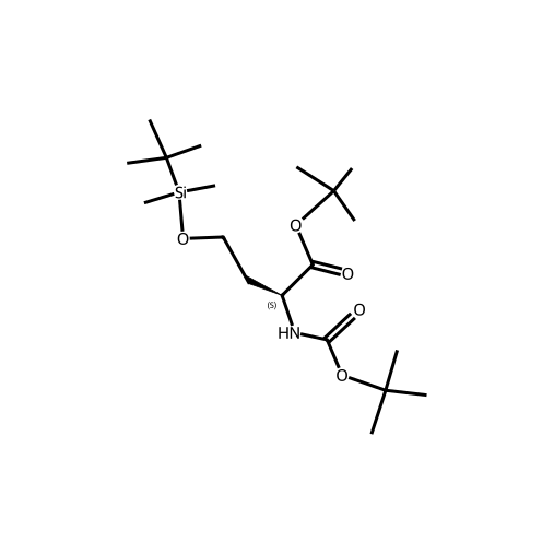 CC(C)(C)OC(=O)N[C@@H](CCO[Si](C)(C)C(C)(C)C)C(=O)OC(C)(C)C